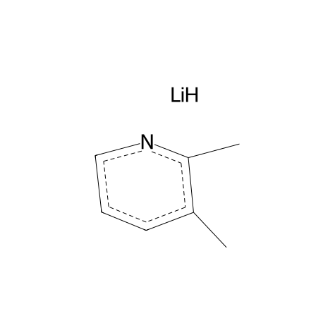 Cc1cccnc1C.[LiH]